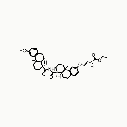 CCOC(=O)NCCOc1ccc2c(c1)[C@@]1(C)CCC[C@](C)(C(=O)NC(=O)[C@@]3(C)CCC[C@]4(C)c5cc(O)ccc5CC[C@@H]34)[C@@H]1CC2